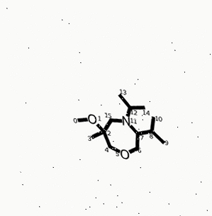 COC1(C)COCC(C(C)C)N(C(C)C)C1